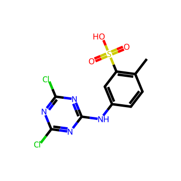 Cc1ccc(Nc2nc(Cl)nc(Cl)n2)cc1S(=O)(=O)O